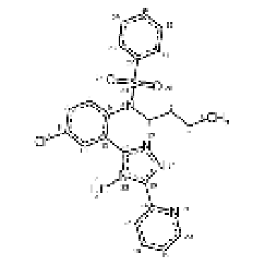 CCCCN(c1ccc(Cl)cc1-c1nnc(-c2ccccn2)n1C)S(=O)(=O)c1ccccc1